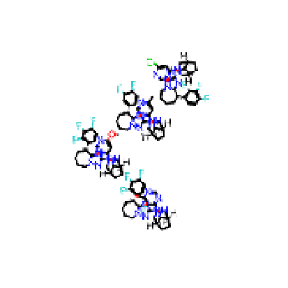 COc1cc(N2C[C@H]3CC[C@@H](C2)C3Nc2nc3n(n2)CCCC[C@@H]3c2ccc(F)c(F)c2F)ncn1.Cc1cc(N2C[C@H]3CC[C@@H](C2)C3Nc2nc3n(n2)CCCC[C@@H]3c2ccc(F)c(F)c2)ncn1.Cc1ncnc(N2C[C@H]3CC[C@@H](C2)C3Nc2nc3n(n2)CCCC[C@@H]3c2ccc(F)c(F)c2F)c1F.Fc1ccc([C@H]2CCCCn3nc(NC4[C@@H]5CC[C@H]4CN(c4cc(Cl)ncn4)C5)nc32)c(F)c1F